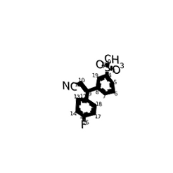 CS(=O)(=O)c1cccc(C(=CC#N)c2ccc(F)cc2)c1